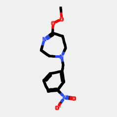 COOC1=NCCN(Cc2cccc([N+](=O)[O-])c2)CC1